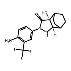 Nc1ccc(N2N[C@@H]3C4CCC(CC4)[C@]3(O)C2=O)cc1C(F)(F)F